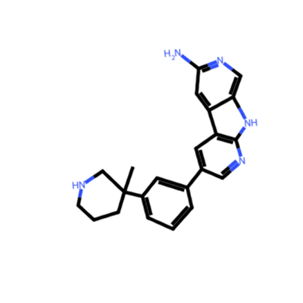 CC1(c2cccc(-c3cnc4[nH]c5cnc(N)cc5c4c3)c2)CCCNC1